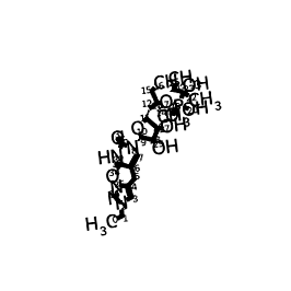 CCn1cc(Cc2cn([C@@H]3O[C@H](C[C@@](C)(CC)OP(=O)(O)C(C)(O)CC)C(O)[C@@H]3O)c(=O)[nH]c2=O)nn1